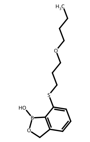 CCCCOCCCSc1cccc2c1B(O)OC2